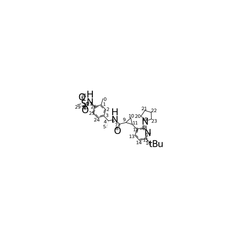 Cc1cc([C@@H](C)NC(=O)C2CC2c2ccc(C(C)(C)C)nc2N2CCCC2)ccc1NS(C)(=O)=O